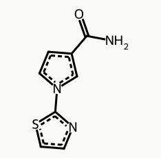 NC(=O)c1ccn(-c2nccs2)c1